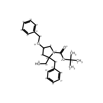 CC(C)(C)OC(=O)N1CC(OCc2ccccc2)CC1(CO)Cc1ccccc1